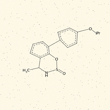 CC(C)Oc1ccc(-c2cccc3c2OS(=O)NC3C)cc1